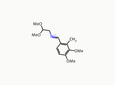 COc1ccc(/C=N/CC(OC)OC)c(C)c1OC